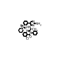 C[C@@H](Nc1nc(N)ncc1-c1cccc(S(=O)(=O)N2CCCCC2)c1)c1nc2cccc(Cl)c2c(=O)n1-c1ccccc1